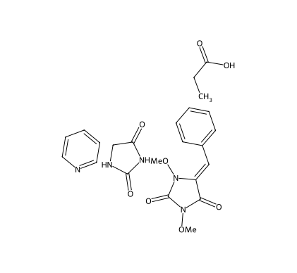 CCC(=O)O.CON1C(=O)C(=Cc2ccccc2)N(OC)C1=O.O=C1CNC(=O)N1.c1ccncc1